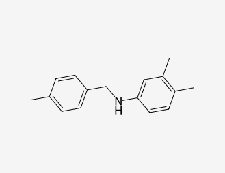 Cc1ccc(CNc2ccc(C)c(C)c2)cc1